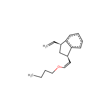 C=C[C@@H]1C[C@H](/C=C\OCCCC)c2ccccc21